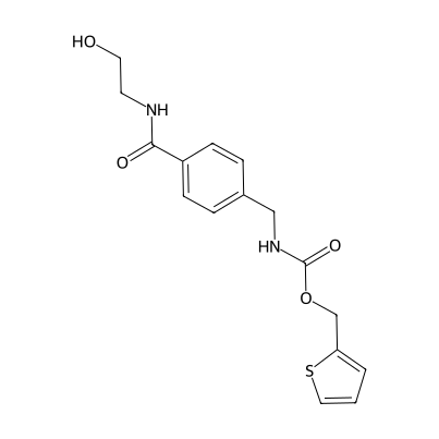 O=C(NCc1ccc(C(=O)NCCO)cc1)OCc1cccs1